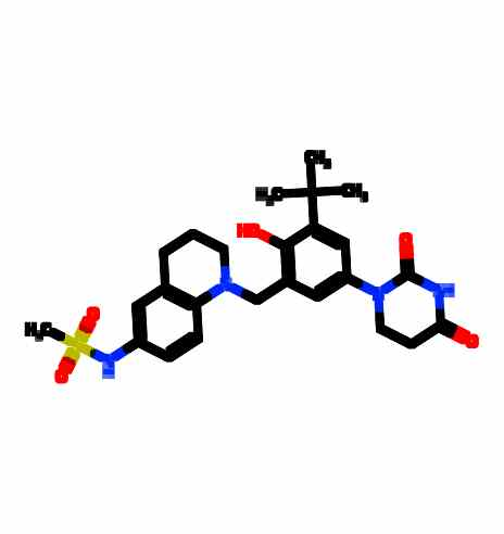 CC(C)(C)c1cc(N2CCC(=O)NC2=O)cc(CN2CCCc3cc(NS(C)(=O)=O)ccc32)c1O